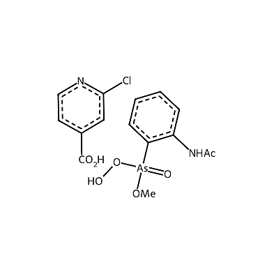 CO[As](=O)(OO)c1ccccc1NC(C)=O.O=C(O)c1ccnc(Cl)c1